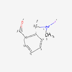 CN(C)I.O=Cc1ccccc1